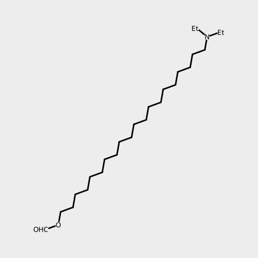 CCN(CC)CCCCCCCCCCCCCCCCCCCCOC=O